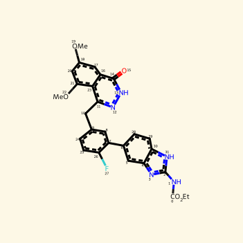 CCOC(=O)Nc1nc2cc(-c3cc(Cc4n[nH]c(=O)c5cc(OC)cc(OC)c45)ccc3F)ccc2[nH]1